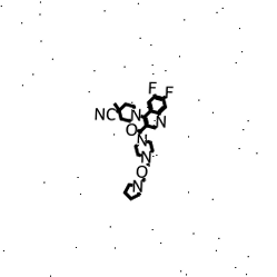 CC1(C#N)CCN(c2c(C(=O)N3CCN(COCN4CCCC4)CC3)cnc3cc(F)c(F)cc23)CC1